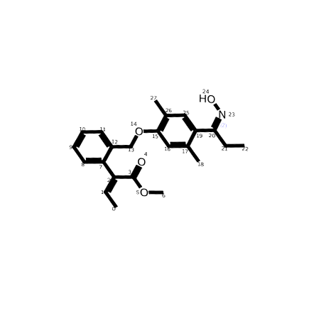 CC=C(C(=O)OC)c1ccccc1COc1cc(C)c(/C(CC)=N\O)cc1C